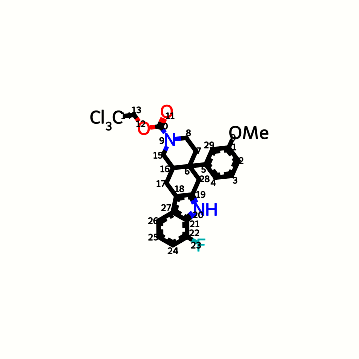 COc1cccc(C23CCN(C(=O)OCC(Cl)(Cl)Cl)CC2Cc2c([nH]c4c(F)cccc24)C3)c1